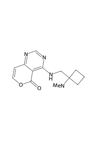 CNC1(CNc2ncnc3ccoc(=O)c23)CCC1